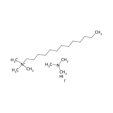 CCCCCCCCCCCCC[N+](C)(C)C.CN(C)C.I.[I-]